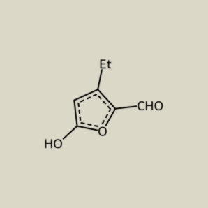 CCc1cc(O)oc1C=O